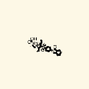 CCc1nn(C[C@H](C)NC(=O)O)c(CC)c1S(=O)(=O)c1ccc(N2Cc3ccccc3C2=O)cc1